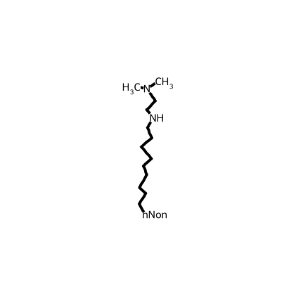 CCCCCCCCCCCCCCCCCCNCCN(C)C